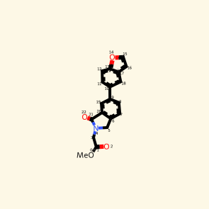 COC(=O)CN1Cc2ccc(-c3ccc4occc4c3)cc2C1=O